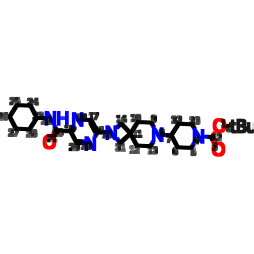 CC(C)(C)OC(=O)N1CCC(N2CCC3(CC2)CN(c2cnc(C(=O)NC4CCCCC4)cn2)C3)CC1